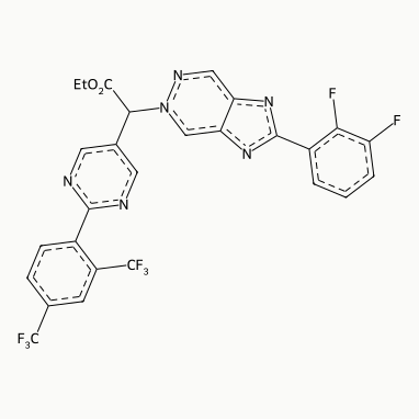 CCOC(=O)C(c1cnc(-c2ccc(C(F)(F)F)cc2C(F)(F)F)nc1)n1cc2nc(-c3cccc(F)c3F)nc-2cn1